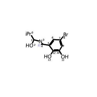 CC(C)C(O)/N=C/c1cc(Br)cc(O)c1O